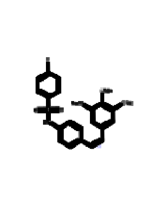 COc1cc(/C=C\c2ccc(NS(=O)(=O)c3ccc(F)cc3)cc2)cc(OC)c1OC